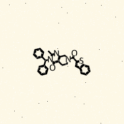 Cc1nc2c(c(=O)n1C(c1ccccc1)c1ccccc1)CCN(C(=O)c1cc3ccccc3s1)C2